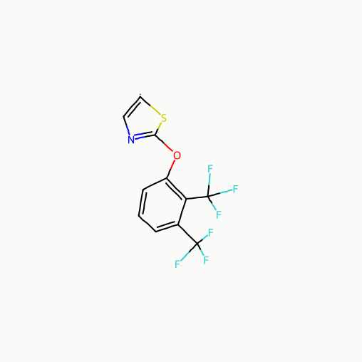 FC(F)(F)c1cccc(Oc2nc[c]s2)c1C(F)(F)F